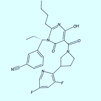 CCCCc1nc(O)c(C(=O)N2CCC(c3ncc(F)cc3F)C2)c(=O)n1[C@@H](CC)c1cccc(C#N)c1